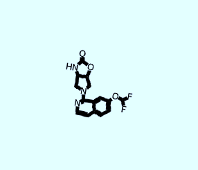 O=C1NC2CN(c3nccc4ccc(OC(F)F)cc34)CC2O1